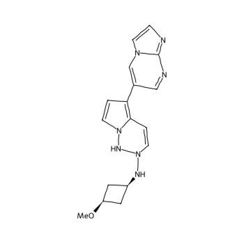 CO[C@H]1C[C@@H](NN2C=Cc3c(-c4cnc5nccn5c4)ccn3N2)C1